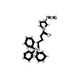 O=C(CCCC[PH](c1ccccc1)(c1ccccc1)c1ccccc1)N1CC[C@@H](N=C=S)C1